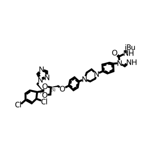 CCC(C)NC(=O)N(C=N)c1ccc(N2CCN(c3ccc(OC[C@H]4CO[C@](Cn5cncn5)(C5C=CC(Cl)=CC5Cl)O4)cc3)CC2)cc1